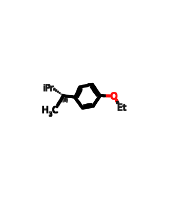 CCOc1ccc([C@H](C)C(C)C)cc1